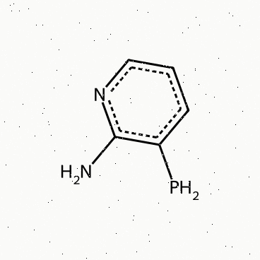 Nc1ncccc1P